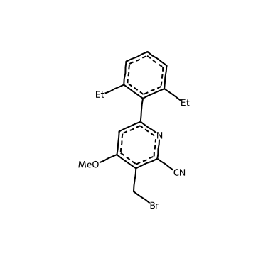 CCc1cccc(CC)c1-c1cc(OC)c(CBr)c(C#N)n1